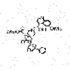 COC(=O)C[C@@H]1CN(C[C@H](O)c2ccnc3ccc(OC)cc23)CC[C@]12CN(C1=COC=C(C3=CC=CCC3)O1)C(=O)O2